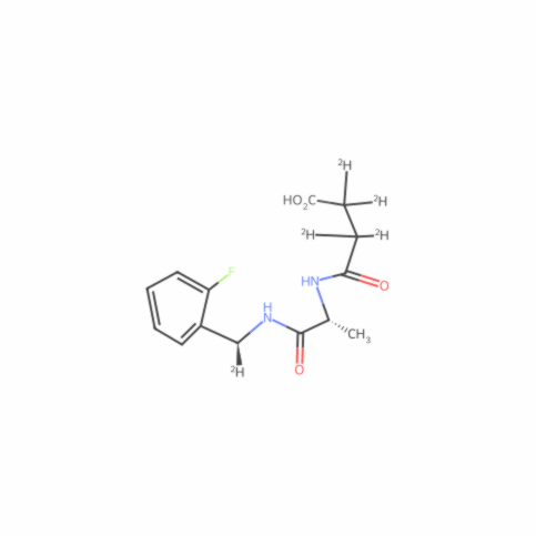 [2H][C@H](NC(=O)[C@@H](C)NC(=O)C([2H])([2H])C([2H])([2H])C(=O)O)c1ccccc1F